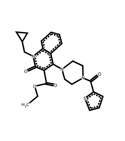 CCOC(=O)c1c(N2CCN(C(=O)c3cccs3)CC2)c2ccccc2n(CC2CC2)c1=O